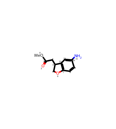 COC(=O)CC1COc2ccc(N)cc21